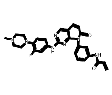 C=CC(=O)Nc1cccc(-n2c(=O)ccc3cnc(Nc4ccc(N5CCN(C)CC5)c(F)c4)nc32)c1